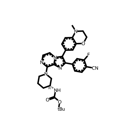 CN1CCOc2cc(-c3c(-c4ccc(C#N)c(F)c4)nc4c(N5CCC[C@@H](NC(=O)OC(C)(C)C)C5)nccn34)ccc21